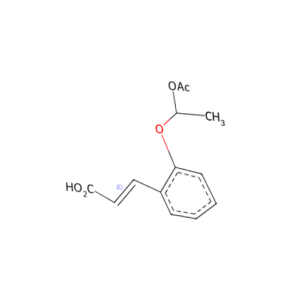 CC(=O)OC(C)Oc1ccccc1/C=C/C(=O)O